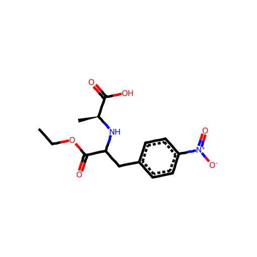 CCOC(=O)C(Cc1ccc([N+](=O)[O-])cc1)N[C@@H](C)C(=O)O